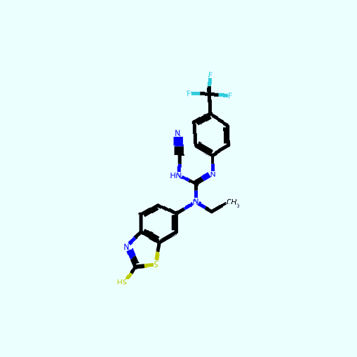 CCN(/C(=N/c1ccc(C(F)(F)F)cc1)NC#N)c1ccc2nc(S)sc2c1